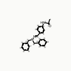 CC(=O)Nc1ccc(C=NN(Cc2ccccc2)Cc2ccccc2)cc1